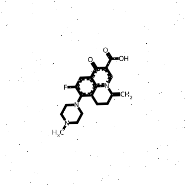 C=C1CCc2c(N3CCN(C)CC3)c(F)cc3c(=O)c(C(=O)O)cn1c23